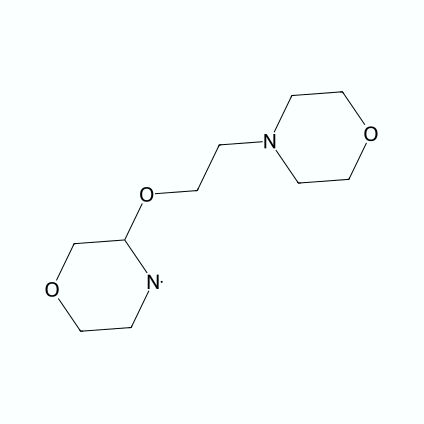 C1COCC(OCCN2CCOCC2)[N]1